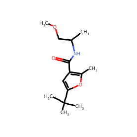 COCC(C)NC(=O)c1cc(C(C)(C)C)oc1C